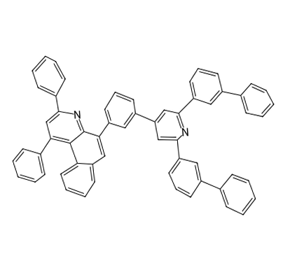 c1ccc(-c2cccc(-c3cc(-c4cccc(-c5cc6ccccc6c6c(-c7ccccc7)cc(-c7ccccc7)nc56)c4)cc(-c4cccc(-c5ccccc5)c4)n3)c2)cc1